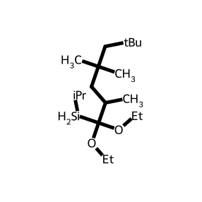 CCOC(OCC)([SiH2]C(C)C)C(C)CC(C)(C)CC(C)(C)C